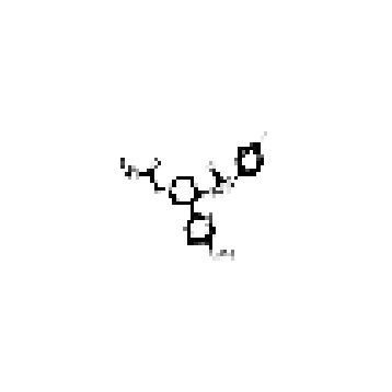 CCNC(=O)CN1CCC(NC(=O)Nc2ccc(Cl)cc2)C(c2ccc(OC)cn2)C1